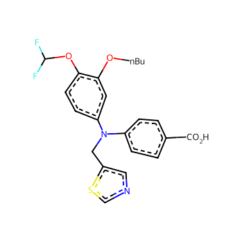 CCCCOc1cc(N(Cc2cncs2)c2ccc(C(=O)O)cc2)ccc1OC(F)F